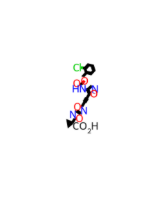 O=C(Nc1cnoc1C#Cc1nc2oc(C3(C(=O)O)CC3)nc2o1)OCc1ccccc1Cl